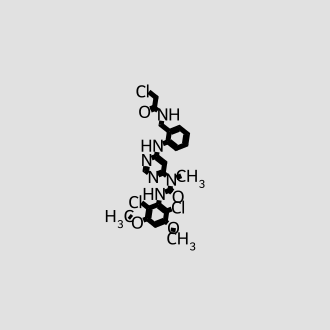 COc1cc(OC)c(Cl)c(NC(=O)N(C)c2cc(Nc3ccccc3CNC(=O)CCl)ncn2)c1Cl